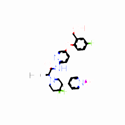 CC(C(=O)Nc1ccc(Oc2ccc(F)cc2CO)cn1)N1CCC(F)(F)[C@@H](c2cc[n+]([O-])cc2)C1